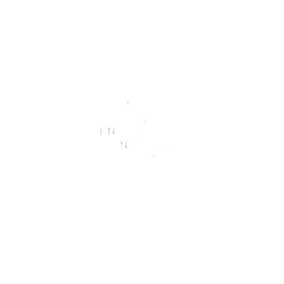 CC(=O)NN(C)C(=O)OC(C)(C)C